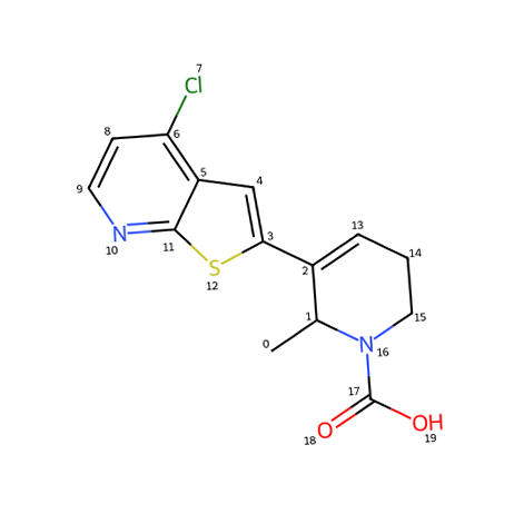 CC1C(c2cc3c(Cl)ccnc3s2)=CCCN1C(=O)O